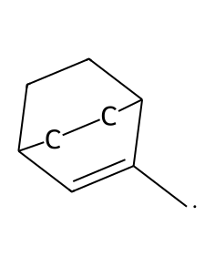 [CH2]C1=CC2CCC1CC2